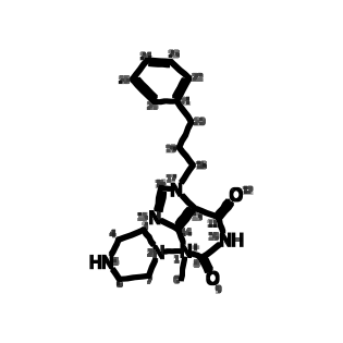 C[N+]1(N2CCNCC2)C(=O)NC(=O)c2c1ncn2CCCc1ccccc1